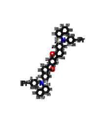 CC(C)c1ccc(N(c2ccc3c(ccc4c5cc6oc7c8ccc(N(c9ccc(C(C)C)cc9)c9cccc%10ccccc9%10)cc8ccc7c6cc5oc34)c2)c2cccc3ccccc23)cc1